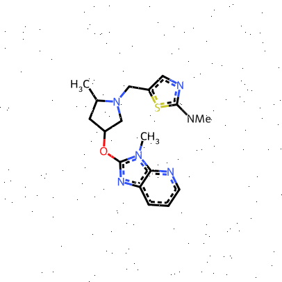 CNc1ncc(CN2CC(Oc3nc4cccnc4n3C)CC2C)s1